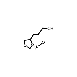 O=[N+]([O-])O.OCCCC1COCO1